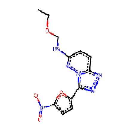 CCOCNc1ccc2nnc(-c3ccc([N+](=O)[O-])o3)n2n1